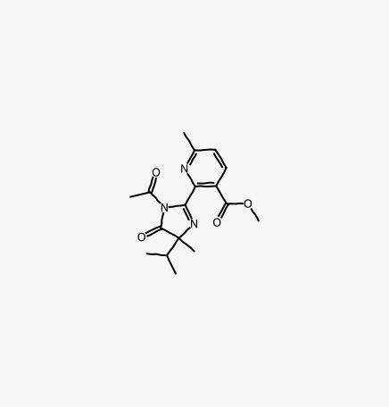 COC(=O)c1ccc(C)nc1C1=NC(C)(C(C)C)C(=O)N1C(C)=O